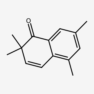 Cc1cc(C)c2c(c1)C(=O)C(C)(C)C=C2